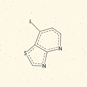 Ic1ccnc2ncsc12